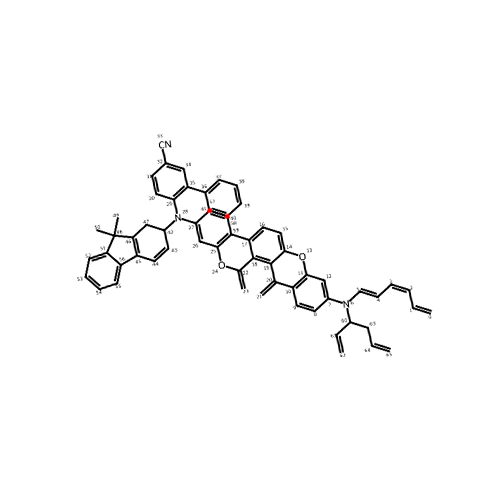 C=C/C=C\C=C\N(c1ccc2c(c1)Oc1ccc3c(c1C2=C)C(=C)Oc1cc(N(c2ccc(C#N)cc2-c2ccccc2)C2C=CC4=C(C2)C(C)(C)c2ccccc24)ccc1-3)C(C=C)CC=C